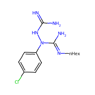 CCCCCCN=C(N)N(NC(=N)N)c1ccc(Cl)cc1